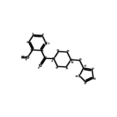 COc1cccnc1C(=O)N1CCN(Cc2cccs2)CC1